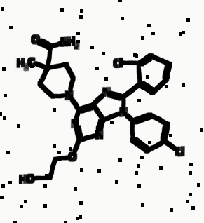 CC1(C(N)=O)CCN(c2nc(OCCO)nc3c2nc(-c2ccccc2Cl)n3-c2ccc(Cl)cc2)CC1